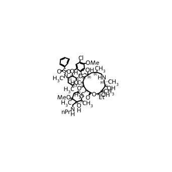 CCCNC[C@]1(O)[C@H](C)O[C@@H](O[C@H]2[C@H](C)[C@@H](O[C@@H]3O[C@H](C)C[C@H](N(C)S(=O)(=O)c4ccccc4)[C@H]3Oc3ccc(OC)c(Cl)c3)[C@](C)(O)C[C@@H](C)CN[C@H](C)[C@@H](O)[C@](C)(O)[C@@H](CC)OC(=O)[C@@H]2C)C[C@@]1(C)OC